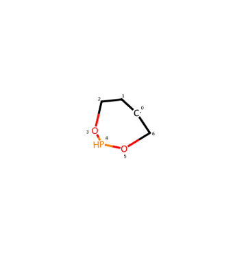 [CH]1CCOPOC1